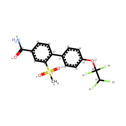 CS(=O)(=O)c1cc(C(N)=O)ccc1-c1ccc(OC(F)(F)C(F)F)cc1